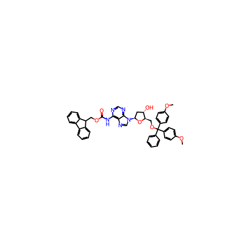 COc1ccc(C(OC[C@H]2O[C@@H](n3cnc4c(NC(=O)OCC5c6ccccc6-c6ccccc65)ncnc43)C[C@@H]2O)(c2ccccc2)c2ccc(OC)cc2)cc1